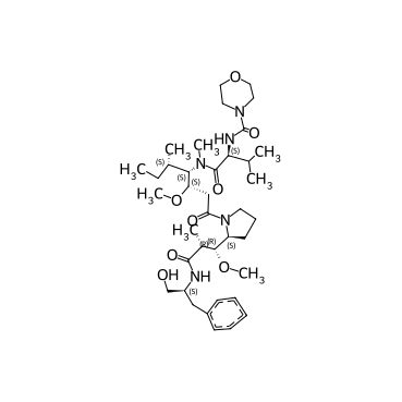 CC[C@H](C)[C@@H]([C@H](CC(=O)N1CCC[C@H]1[C@H](OC)[C@@H](C)C(=O)N[C@H](CO)Cc1ccccc1)OC)N(C)C(=O)[C@@H](NC(=O)N1CCOCC1)C(C)C